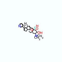 CN(C)[C@H]1C[C@@]23CC[C@@]4(O2)C(=CC[C@]2(C)C(c5cccnc5)=CCC24)CC3(F)[C@@H](O)[C@@H]1O